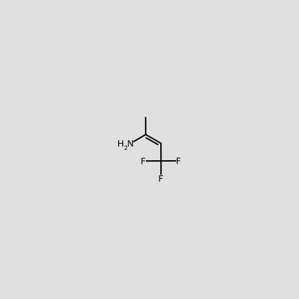 C/C(N)=C/C(F)(F)F